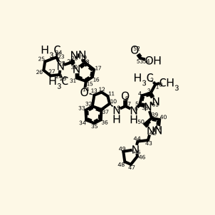 CC(C)c1cc(NC(=O)N[C@H]2CC[C@@H](Oc3ccc4nnc(N5[C@H](C)CCC[C@@H]5C)n4c3)c3ccccc32)n(-c2cnn(CCN3CCCC3)c2)n1.O=CO